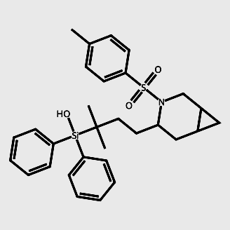 Cc1ccc(S(=O)(=O)N2CC3CC3CC2CCC(C)(C)[Si](O)(c2ccccc2)c2ccccc2)cc1